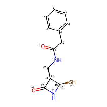 O=C(Cc1ccccc1)NC[C@@H]1C(=O)N[C@@H]1S